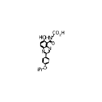 CC(C)Oc1ccc(-c2cnc3c(C(=O)NCC(=O)O)c(O)ccc3n2)cc1